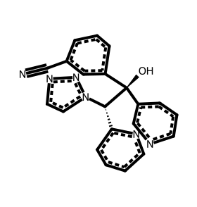 N#Cc1cccc([C@](O)(c2cccnc2)[C@H](c2ccccn2)n2ccnn2)c1